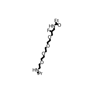 CCC(=O)NCC(F)COCCOCCOCCOCCNC(C)C